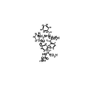 CC(C(=O)O)c1ccccc1.CC(C)(C)OC(=O)NC(Cc1ccc(OC(=O)[C@H]2CCCN2)cc1)C(=O)O.NC(Cc1ccccc1)C(=O)O